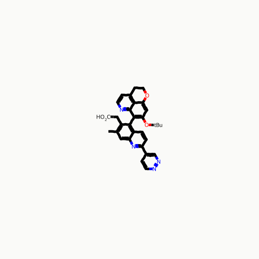 Cc1cc2nc(-c3ccnnc3)ccc2c(-c2c(OC(C)(C)C)cc3c4c(ccnc24)CCO3)c1CC(=O)O